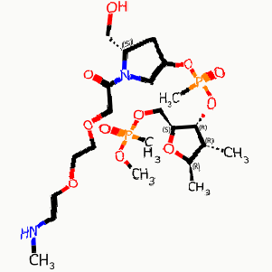 CNCCOCCOCC(=O)N1CC(OP(C)(=O)O[C@@H]2[C@H](C)[C@@H](C)O[C@H]2COP(C)(=O)OC)C[C@H]1CO